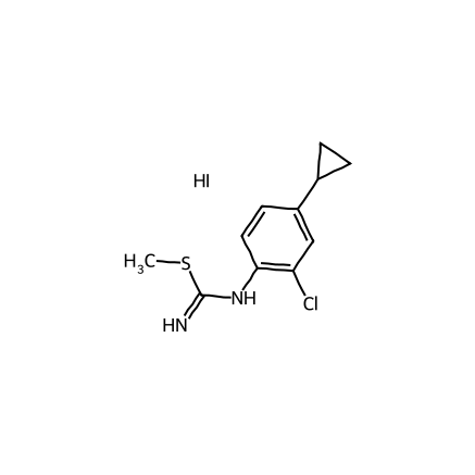 CSC(=N)Nc1ccc(C2CC2)cc1Cl.I